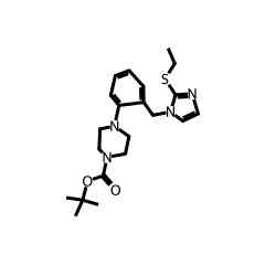 CCSc1nccn1Cc1ccccc1N1CCN(C(=O)OC(C)(C)C)CC1